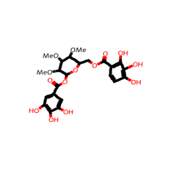 COC1C(COC(=O)c2ccc(O)c(O)c2O)OC(OC(=O)c2cc(O)c(O)c(O)c2)C(OC)C1OC